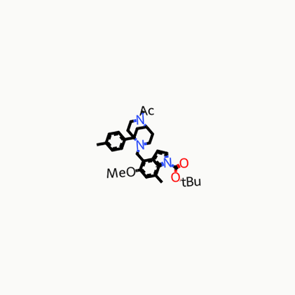 COc1cc(C)c2c(ccn2C(=O)OC(C)(C)C)c1CN1CCC2CC1(c1ccc(C)cc1)CCN2C(C)=O